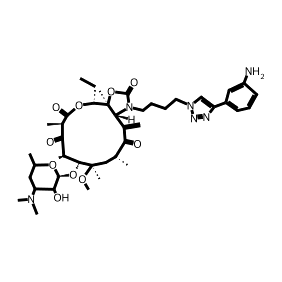 C=C1C(=O)[C@H](C)C[C@@](C)(OC)[C@H](O[C@@H]2OC(C)CC(N(C)C)C2O)[C@@H](C)C(=O)[C@@H](C)C(=O)O[C@H](CC)[C@@]2(C)OC(=O)N(CCCCn3cc(-c4cccc(N)c4)nn3)[C@H]12